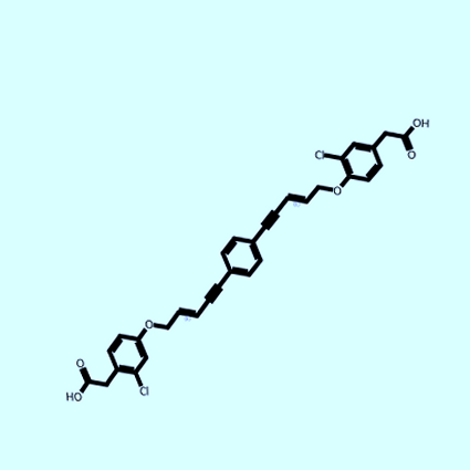 O=C(O)Cc1ccc(OC/C=C/C#Cc2ccc(C#C/C=C/COc3ccc(CC(=O)O)c(Cl)c3)cc2)c(Cl)c1